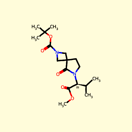 COC(=O)[C@H](C(C)C)N1CCC2(CN(C(=O)OC(C)(C)C)C2)C1=O